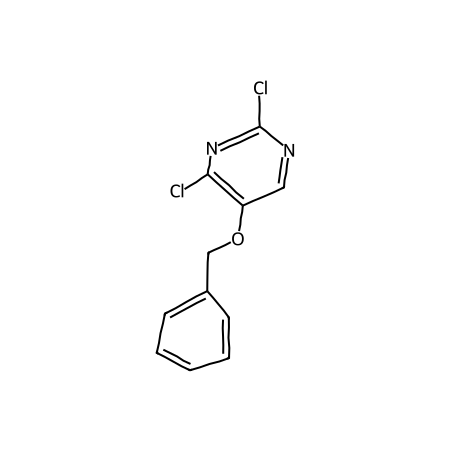 Clc1ncc(OCc2ccccc2)c(Cl)n1